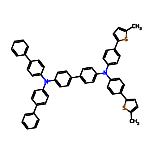 Cc1ccc(-c2ccc(N(c3ccc(-c4ccc(N(c5ccc(-c6ccccc6)cc5)c5ccc(-c6ccccc6)cc5)cc4)cc3)c3ccc(-c4ccc(C)s4)cc3)cc2)s1